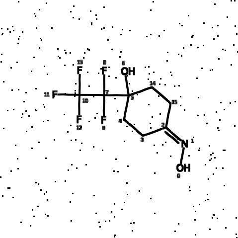 ON=C1CCC(O)(C(F)(F)C(F)(F)F)CC1